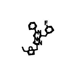 CCc1ccc(Cc2cn3cc(-c4ccccc4)nc(Cc4cccc(F)c4)c3n2)o1